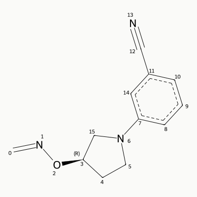 C=NO[C@@H]1CCN(c2cccc(C#N)c2)C1